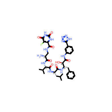 CC(C)C[C@H](NC(=O)[C@@H](NC(=O)[C@@H](N)CNC(=O)c1[nH]c(=O)[nH]c(=O)c1F)C(C)C)C(=O)N[C@@H](Cc1ccccc1)[C@@H](O)C(=O)Nc1cccc(-c2nnn[nH]2)c1